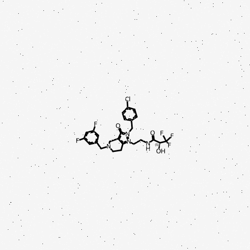 O=C(NCCn1c2c(c(=O)n1Cc1ccc(Cl)cc1)CN(Cc1cc(F)cc(F)c1)CC2)[C@H](O)C(F)(F)F